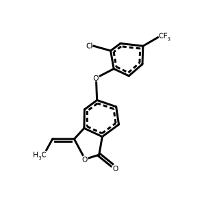 CC=C1OC(=O)c2ccc(Oc3ccc(C(F)(F)F)cc3Cl)cc21